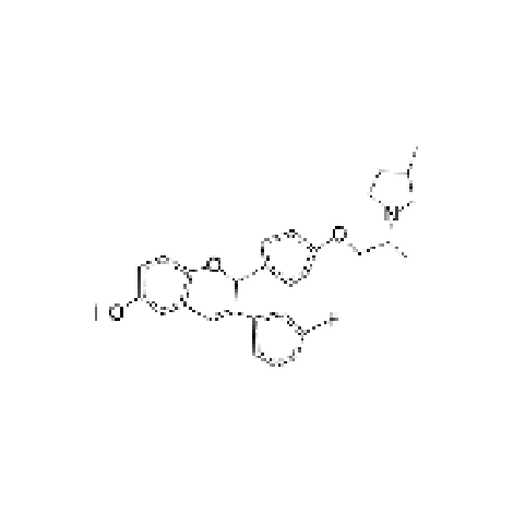 CC1=C(c2cccc(F)c2)C(c2ccc(OCC(C)N3CCC(C)C3)cc2)Oc2ccc(O)cc21